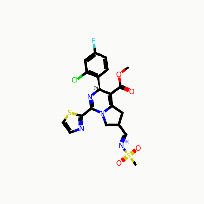 COC(=O)C1=C2CC(/C=N/S(C)(=O)=O)CN2C(c2nccs2)=N[C@H]1c1ccc(F)cc1Cl